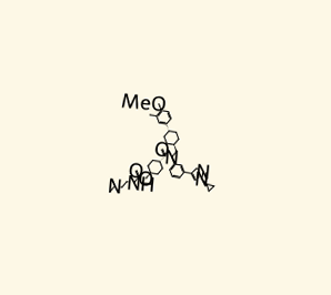 COc1ccc([C@H]2CC[C@H](CN(c3cccc(-c4cnn(C5CC5)c4)c3)C(=O)[C@H]3CC[C@H](OC(=O)NCCN(C)C)CC3)CC2)cc1C